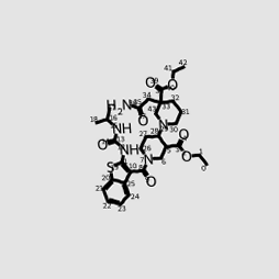 CCOC(=O)C1CN(C(=O)c2c(NC(=O)NC(C)C)sc3ccccc23)CCC1N1CCCC(CC(N)=O)(C(=O)OCC)C1